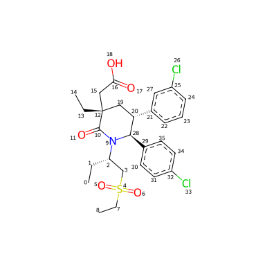 CC[C@@H](CS(=O)(=O)CC)N1C(=O)[C@](CC)(CC(=O)O)C[C@H](c2cccc(Cl)c2)[C@H]1c1ccc(Cl)cc1